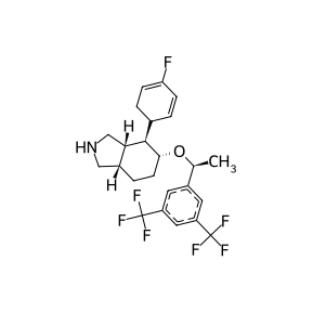 C[C@H](O[C@@H]1CC[C@@H]2CNC[C@@H]2[C@H]1C1C=CC(F)=CC1)c1cc(C(F)(F)F)cc(C(F)(F)F)c1